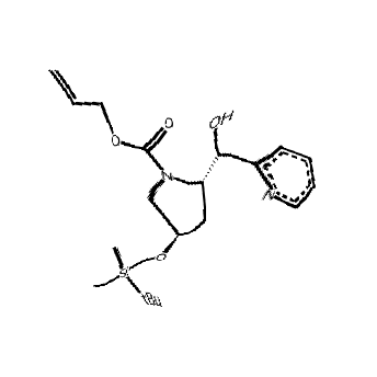 C=CCOC(=O)N1C[C@H](O[Si](C)(C)C(C)(C)C)C[C@H]1C(O)c1ccccn1